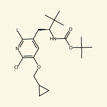 CC(C)(C)OC(=O)N[C@@H](Cc1cc(OCC2CC2)c(Cl)nc1I)C(C)(C)C